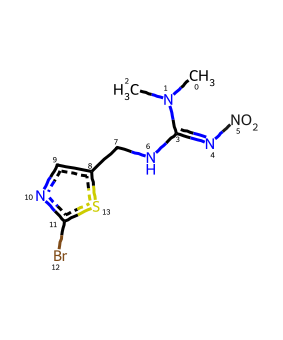 CN(C)/C(=N\[N+](=O)[O-])NCc1cnc(Br)s1